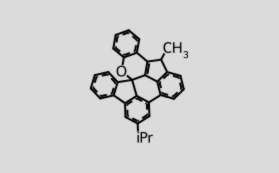 CC(C)c1cc2c3c(c1)-c1cccc4c1C1=C(c5ccccc5OC13c1ccccc1-2)C4C